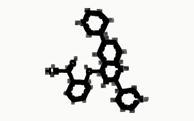 NC(=O)c1ccccc1Oc1nc(-c2cccnc2)nc2ccc(-c3cccnc3)cc12